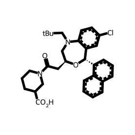 CC(C)(C)CN1C[C@H](CC(=O)N2CCCC(C(=O)O)C2)O[C@@H](c2cccc3ccccc23)c2cc(Cl)ccc21